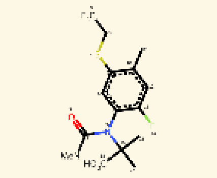 CNC(=O)N(c1cc(SCC(F)(F)F)c(C)cc1F)C(C)(C)C(=O)O